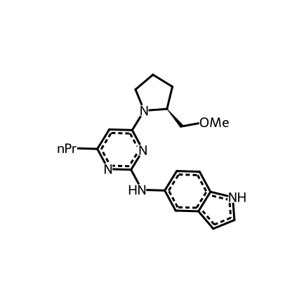 CCCc1cc(N2CCC[C@H]2COC)nc(Nc2ccc3[nH]ccc3c2)n1